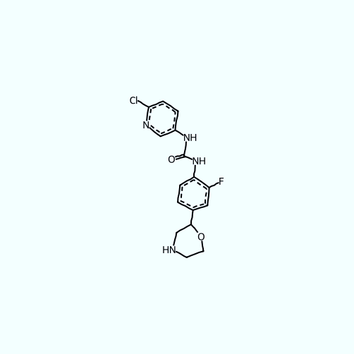 O=C(Nc1ccc(Cl)nc1)Nc1ccc(C2CNCCO2)cc1F